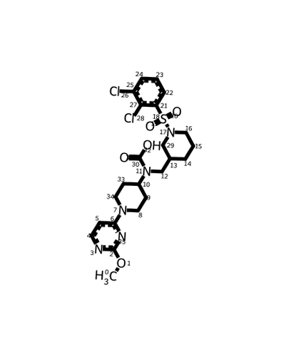 COc1nccc(N2CCC(N(CC3CCCN(S(=O)(=O)c4cccc(Cl)c4Cl)C3)C(=O)O)CC2)n1